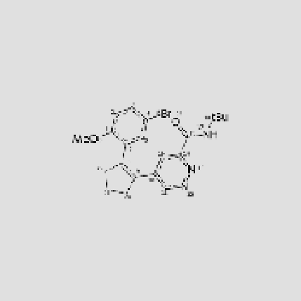 COc1ccc(Br)cc1C1=C(c2cnnc(C(=O)NC(C)(C)C)c2)CCC1